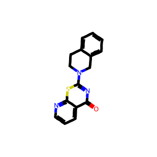 O=c1nc(N2CCc3ccccc3C2)sc2ncccc12